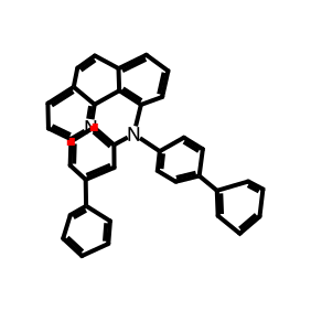 c1ccc(-c2ccc(N(c3cccc(-c4ccccc4)c3)c3cccc4ccc5cccnc5c34)cc2)cc1